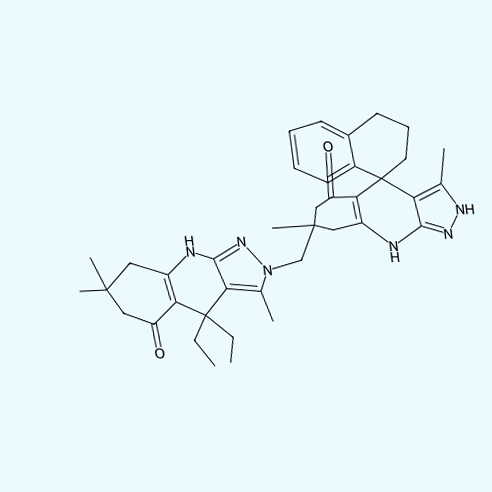 CCC1(CC)C2=C(CC(C)(C)CC2=O)Nc2nn(CC3(C)CC(=O)C4=C(C3)Nc3n[nH]c(C)c3C43CCCc4ccccc43)c(C)c21